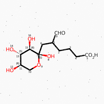 O=CC(CCCC(=O)O)C[C@]1(O)OC[C@@H](O)[C@H](O)[C@H]1O